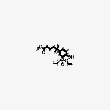 CCOP(=O)(OCC)c1cc(C(C)(C)CCCC(=O)OC)ccc1O